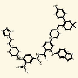 CC1(C)CCC(CN2CCN(c3ccc(C(=O)N[S+]([O-])c4ccc(NC5CCN(CCn6cccn6)CC5)c([N+](=O)[O-])c4)c(Oc4ccc5[nH]ccc5c4)c3)CC2)=C(c2ccc(Cl)cc2)C1